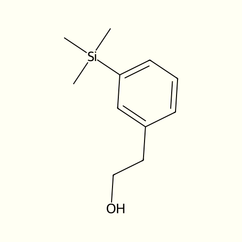 C[Si](C)(C)c1cccc(CCO)c1